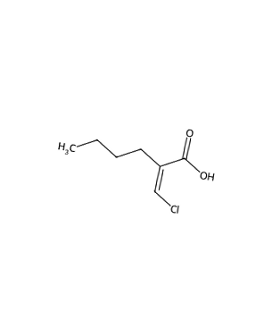 CCCCC(=CCl)C(=O)O